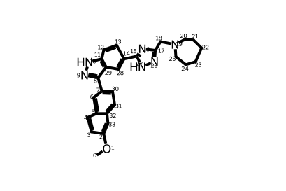 COc1ccc2cc(-c3n[nH]c4ccc(-c5nc(CN6CCCCCC6)n[nH]5)cc34)ccc2c1